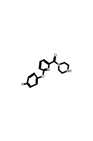 O=C(c1cccc(Oc2ccc(F)cc2)n1)N1CCNCC1